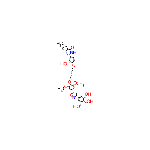 COc1cc(C2CC(c3cc(CO)c(CO)c(CO)c3)=NO2)cc(OC)c1OCCCCCCOc1ccc(C2NC(=O)c3cc(C)ccc3N2)cc1CO